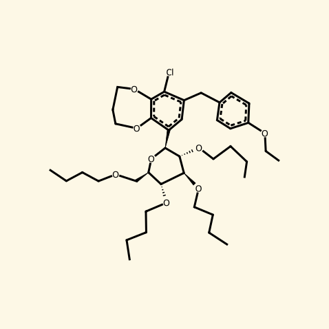 CCCCOC[C@H]1O[C@@H](c2cc(Cc3ccc(OCC)cc3)c(Cl)c3c2OCCCO3)[C@H](OCCCC)[C@@H](OCCCC)[C@@H]1OCCCC